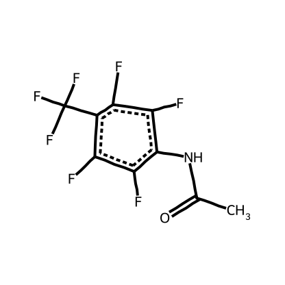 CC(=O)Nc1c(F)c(F)c(C(F)(F)F)c(F)c1F